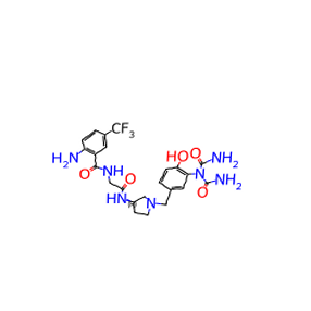 NC(=O)N(C(N)=O)c1cc(CN2CC[C@@H](NC(=O)CNC(=O)c3cc(C(F)(F)F)ccc3N)C2)ccc1O